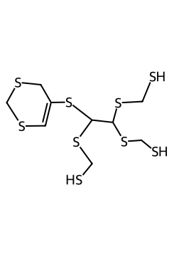 SCSC(SCS)C(SCS)SC1=CSCSC1